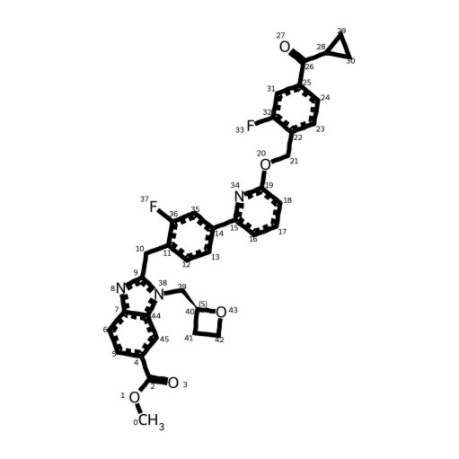 COC(=O)c1ccc2nc(Cc3ccc(-c4cccc(OCc5ccc(C(=O)C6CC6)cc5F)n4)cc3F)n(C[C@@H]3CCO3)c2c1